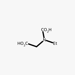 CCN(CC(=O)O)C(=O)O